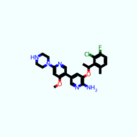 COc1cc(N2CCNCC2)ncc1-c1cnc(N)c(OC(C)c2c(C)ccc(F)c2Cl)c1